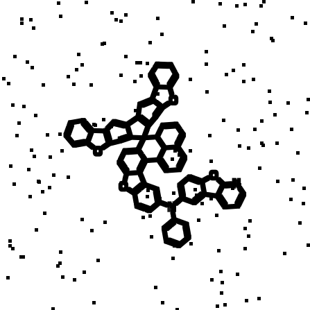 C1=CC2=CC=CC3C2C(=C1)c1c(ccc2oc4ccc(N(c5ccccc5)c5ccc6oc7ncccc7c6c5)cc4c12)C31c2cc3oc4ccccc4c3cc2-c2cc3c(cc21)oc1ccccc13